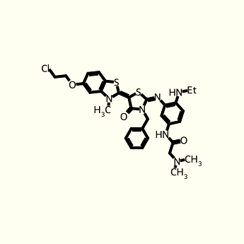 CCNc1ccc(NC(=O)CN(C)C)cc1/N=C1/S/C(=C2\Sc3ccc(OCCCl)cc3N2C)C(=O)N1Cc1ccccc1